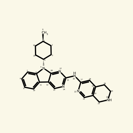 C[C@H]1CC[C@H](n2c3ccccc3c3cnc(Nc4cc5c(cn4)CNCC5)nc32)CC1